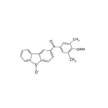 COc1c(C)cc(C(=O)c2ccc3c(c2)c2ccccc2[s+]3[O-])cc1C